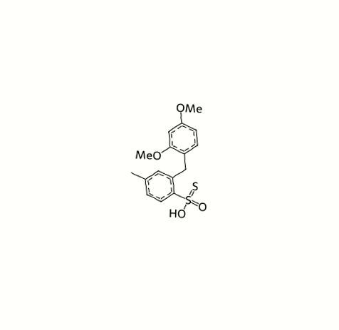 COc1ccc(Cc2cc(C)ccc2S(=O)(O)=S)c(OC)c1